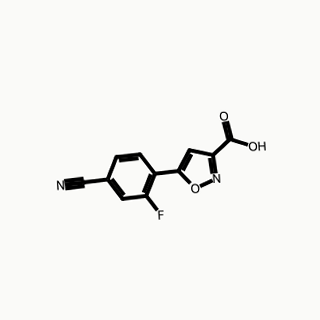 N#Cc1ccc(-c2cc(C(=O)O)no2)c(F)c1